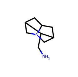 NCC1C2CC3CC1CN3C2